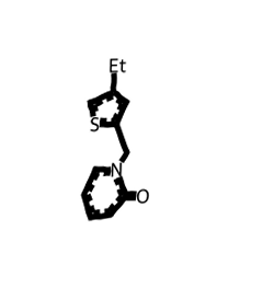 CCc1csc(Cn2ccccc2=O)c1